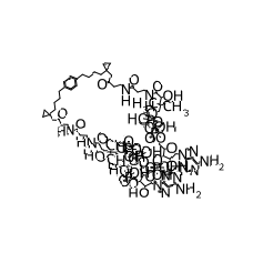 CC(C)(COP(=O)(O)OP(=O)(O)OCC1OC(n2cnc3c(N)ncnc32)C(O)C1OP(=O)(O)O)C(O)C(=O)NCCC(=O)NCCC(=O)CC1(CCCCc2ccc(CCCCC3(CC(=O)CCNC(=O)CCNC(=O)C(O)C(C)(C)COP(=O)(O)OP(=O)(O)OCC4OC(n5cnc6c(N)ncnc65)C(O)C4OP(=O)(O)O)CC3)cc2)CC1